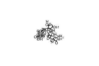 Nc1nc2c(ncn2[C@@H]2O[C@H](COP(=O)(O)OP(=O)(O)OP(=O)(O)O)[C@@H](O)[C@H]2O)c(=O)[nH]1.O[C@@H]1[C@@H](O)[C@@H](O)OC[C@@H]1O